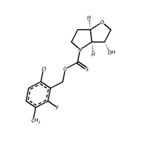 Cc1ccc(Cl)c(COC(=S)N2CC[C@H]3OC[C@H](O)[C@H]32)c1F